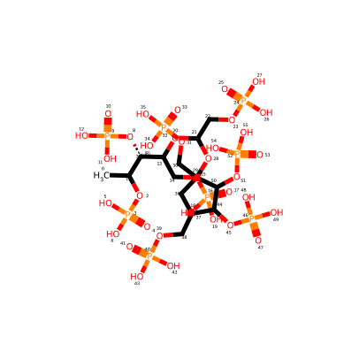 CC(OP(=O)(O)O)[C@H](OP(=O)(O)O)C(COP(=O)(O)O)OC(COP(=O)(O)O)OC1(COP(=O)(O)O)CC(COP(=O)(O)O)C(OP(=O)(O)O)C1OP(=O)(O)O